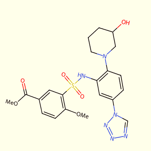 COC(=O)c1ccc(OC)c(S(=O)(=O)Nc2cc(-n3cnnn3)ccc2N2CCCC(O)C2)c1